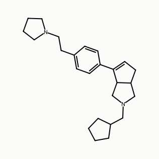 C1=C(c2ccc(CCN3CCCC3)cc2)C2CN(CC3CCCC3)CC2C1